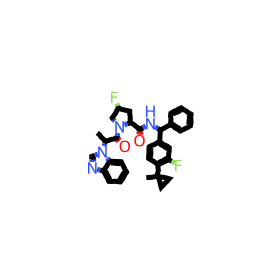 CC(C(=O)N1CC(F)CC1C(=O)NC(c1ccccc1)c1ccc(C2(C)CC2)c(F)c1)n1cnc2ccccc21